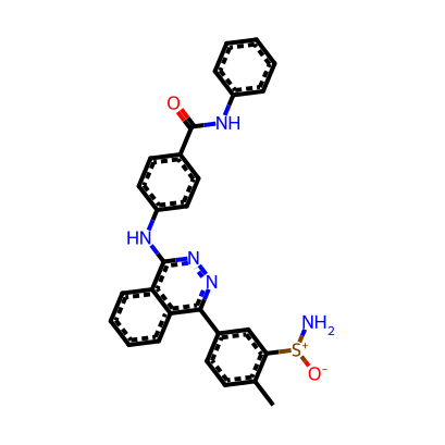 Cc1ccc(-c2nnc(Nc3ccc(C(=O)Nc4ccccc4)cc3)c3ccccc23)cc1[S+](N)[O-]